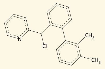 Cc1cccc(-c2ccccc2C(Cl)c2ccccn2)c1C